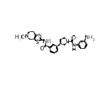 CN1CCc2nc(NC(=O)c3cccc(C4CCN(C(=O)Nc5cccc(N)c5)C4)c3)sc2C1